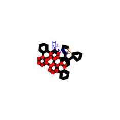 Nc1c(N)c(-c2cccc(-c3ccccc3)c2-c2cccs2)c(-c2cccc(-c3ccccc3)c2-c2cccs2)c(-c2ccccc2-c2ccccc2)c1-c1ccccc1-c1ccccc1-c1ccccc1